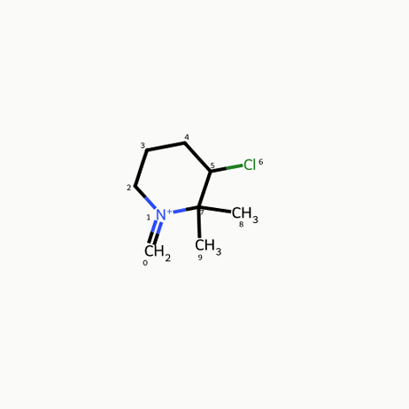 C=[N+]1CCCC(Cl)C1(C)C